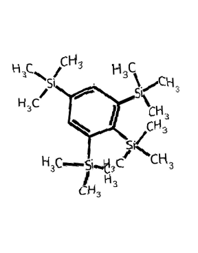 C[Si](C)(C)c1[c]c([Si](C)(C)C)c([Si](C)(C)C)c([Si](C)(C)C)c1